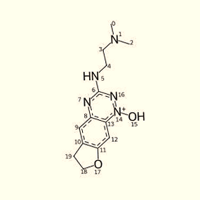 CN(C)CCNc1nc2cc3c(cc2[n+](O)n1)OCC3